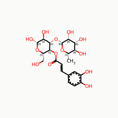 C[C@@H]1O[C@H](O[C@H]2[C@H](O)[C@@H](O)O[C@@H](CO)[C@@H]2OC(=O)C=Cc2ccc(O)c(O)c2)[C@H](O)[C@H](O)[C@H]1O